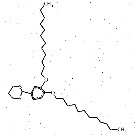 CCCCCCCCCCCCOc1ccc(C2SCCCS2)cc1OCCCCCCCCCCCC